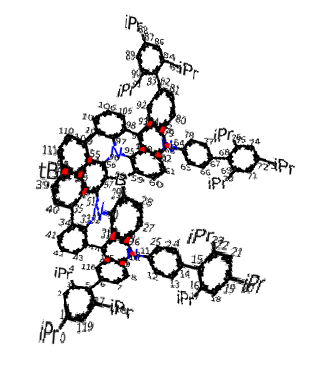 CC(C)c1cc(C(C)C)c(-c2ccc(N(c3ccc(-c4c(C(C)C)cc(C(C)C)cc4C(C)C)cc3)c3ccc4c(c3)N(c3c(-c5ccccc5)cccc3-c3ccccc3)c3cc(C(C)(C)C)cc5c3B4c3ccc(N(c4ccc(-c6c(C(C)C)cc(C(C)C)cc6C(C)C)cc4)c4ccc(-c6c(C(C)C)cc(C(C)C)cc6C(C)C)cc4)cc3N5c3c(-c4ccccc4)cccc3-c3ccccc3)cc2)c(C(C)C)c1